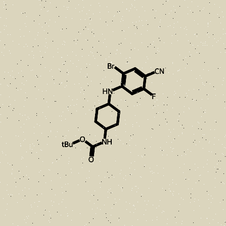 CC(C)(C)OC(=O)NC1CCC(Nc2cc(F)c(C#N)cc2Br)CC1